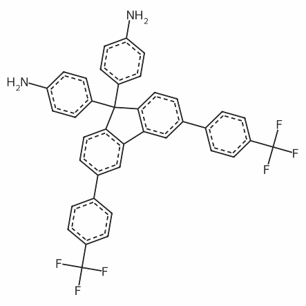 Nc1ccc(C2(c3ccc(N)cc3)c3ccc(-c4ccc(C(F)(F)F)cc4)cc3-c3cc(-c4ccc(C(F)(F)F)cc4)ccc32)cc1